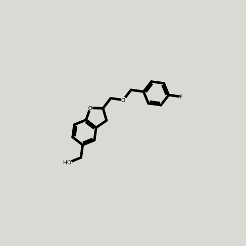 OCc1ccc2c(c1)CC(COCc1ccc(F)cc1)O2